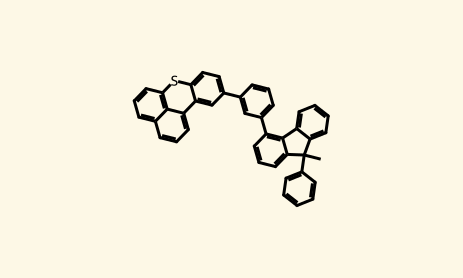 CC1(c2ccccc2)c2ccccc2-c2c(-c3cccc(-c4ccc5c(c4)-c4cccc6cccc(c46)S5)c3)cccc21